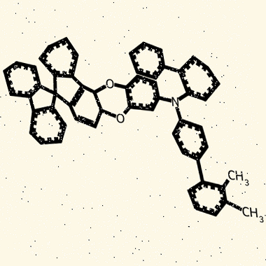 Cc1cccc(-c2ccc(N(c3ccc4c(c3)OC3C=CC5=C(c6ccccc6C56c5ccccc5-c5ccccc56)C3O4)c3ccccc3-c3ccccc3)cc2)c1C